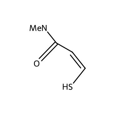 CNC(=O)/C=C\S